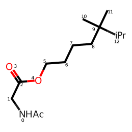 CC(=O)NCC(=O)OCCCCC(C)(C)C(C)C